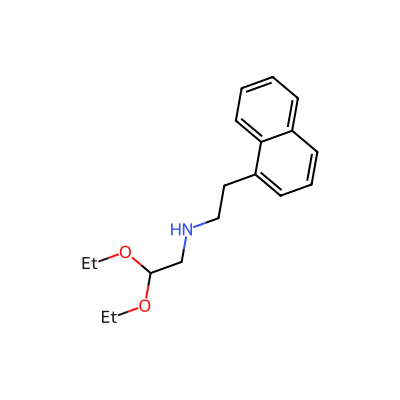 CCOC(CNCCc1cccc2ccccc12)OCC